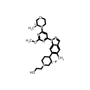 COc1nc(N2CCOC[C@@H]2C)cc(-n2ncc3cc(C)c(C4CCN(CCO)C[C@H]4F)cc32)n1